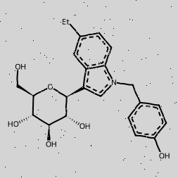 CCc1ccc2c(c1)c([C@@H]1O[C@H](CO)[C@@H](O)[C@H](O)[C@H]1O)cn2Cc1ccc(O)cc1